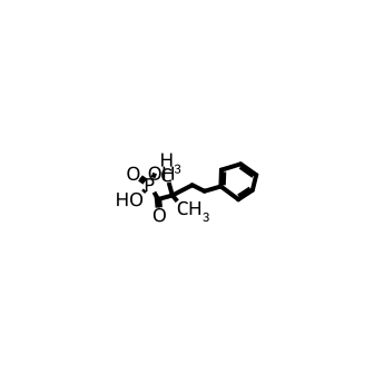 CC(C)(CCc1ccccc1)C(=O)P(=O)(O)O